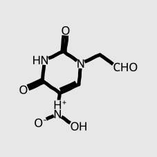 O=CCn1cc([NH+]([O-])O)c(=O)[nH]c1=O